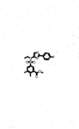 CCN(c1csc(-c2ccc(F)cc2)n1)S(=O)(=O)c1cc(C)c(C)c(C(=O)OC)c1